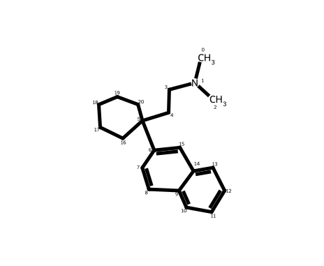 CN(C)CCC1(c2ccc3ccccc3c2)CCCCC1